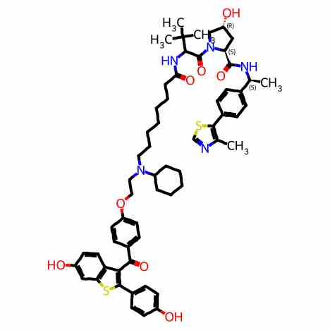 Cc1ncsc1-c1ccc([C@H](C)NC(=O)[C@@H]2C[C@@H](O)CN2C(=O)C(NC(=O)CCCCCCCN(CCOc2ccc(C(=O)c3c(-c4ccc(O)cc4)sc4cc(O)ccc34)cc2)C2CCCCC2)C(C)(C)C)cc1